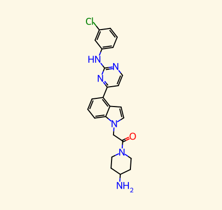 NC1CCN(C(=O)Cn2ccc3c(-c4ccnc(Nc5cccc(Cl)c5)n4)cccc32)CC1